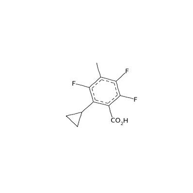 Cc1c(F)c(F)c(C(=O)O)c(C2CC2)c1F